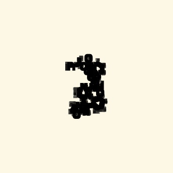 CC(C)C(C)OC(=O)N1CCCN(CCNc2nccc(-c3c(-c4cccc(O)c4)nc4occn34)n2)S1(=O)=O